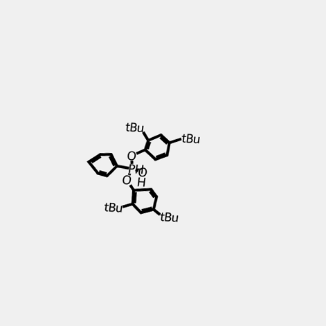 CC(C)(C)c1ccc(O[PH](O)(Oc2ccc(C(C)(C)C)cc2C(C)(C)C)c2ccccc2)c(C(C)(C)C)c1